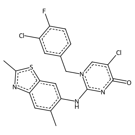 Cc1nc2cc(C)c(Nc3nc(=O)c(Cl)cn3Cc3ccc(F)c(Cl)c3)cc2s1